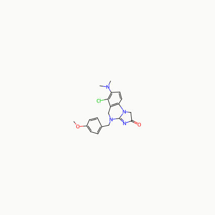 COc1ccc(CN2Cc3c(ccc(N(C)C)c3Cl)N3CC(=O)N=C23)cc1